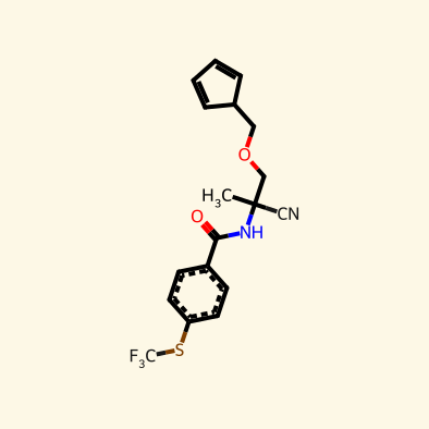 CC(C#N)(COCC1C=CC=C1)NC(=O)c1ccc(SC(F)(F)F)cc1